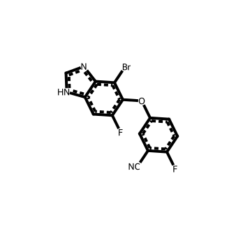 N#Cc1cc(Oc2c(F)cc3[nH]cnc3c2Br)ccc1F